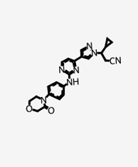 N#CCC(C1CC1)n1cc(-c2ccnc(Nc3ccc(N4CCOCC4=O)cc3)n2)cn1